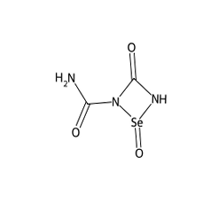 NC(=O)N1C(=O)N[Se]1=O